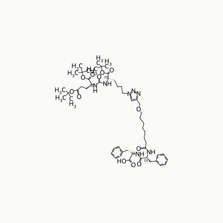 CC(C)(C)OC(=O)CC[C@H](NC(=O)N[C@@H](CCCCn1cc(COCCCCCCCC(=O)N[C@@H](Cc2ccccc2)C(=O)N[C@@H](Cc2ccccc2)C(=O)O)nn1)C(=O)OC(C)(C)C)C(=O)OC(C)(C)C